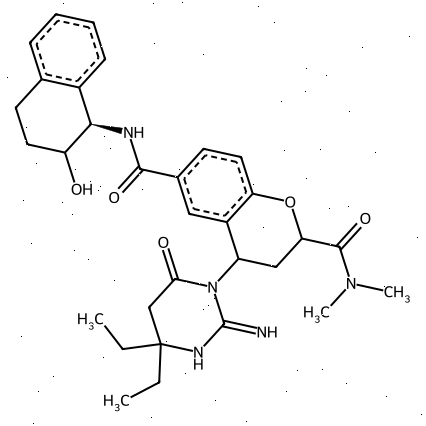 CCC1(CC)CC(=O)N(C2CC(C(=O)N(C)C)Oc3ccc(C(=O)N[C@@H]4c5ccccc5CCC4O)cc32)C(=N)N1